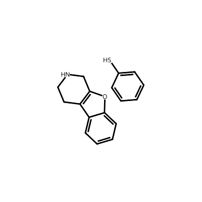 Sc1ccccc1.c1ccc2c3c(oc2c1)CNCC3